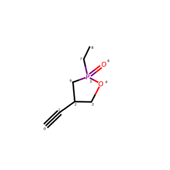 C#CC1COP(=O)(CC)C1